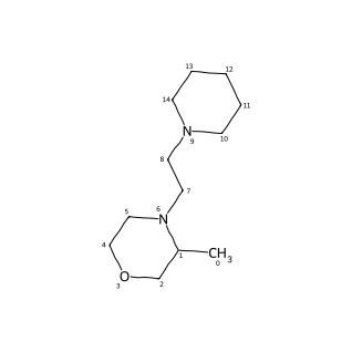 CC1COCCN1CCN1CCCCC1